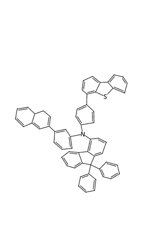 C1=CC2=CC(c3cccc(N(c4ccc(-c5cccc6c5sc5ccccc56)cc4)c4cccc5c4-c4ccccc4C5(c4ccccc4)c4ccccc4)c3)=CCC2C=C1